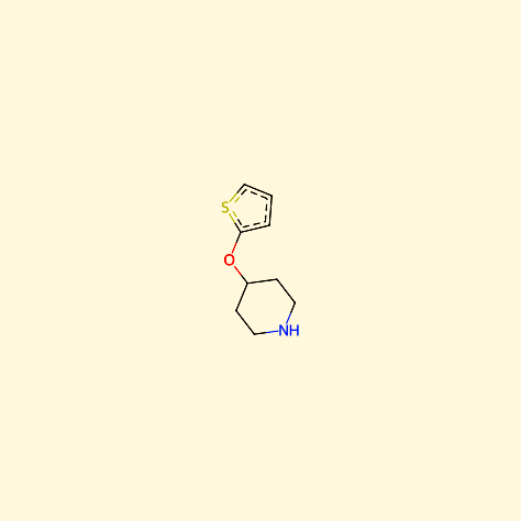 c1csc(OC2CCNCC2)c1